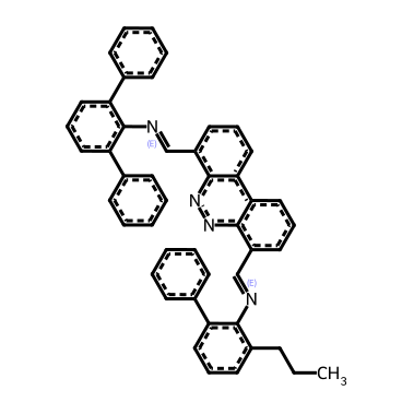 CCCc1cccc(-c2ccccc2)c1/N=C/c1cccc2c1nnc1c(/C=N/c3c(-c4ccccc4)cccc3-c3ccccc3)cccc12